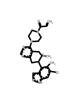 C=CC(=O)N1CCN(c2ncnc3c2C[C@@H](C)C(c2c(C)c(Cl)cc4[nH]ncc24)C3)CC1